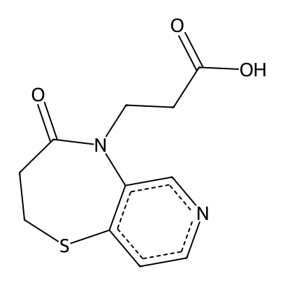 O=C(O)CCN1C(=O)CCSc2ccncc21